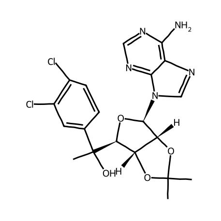 CC1(C)O[C@@H]2[C@H](O1)[C@@H](C(C)(O)c1ccc(Cl)c(Cl)c1)O[C@H]2n1cnc2c(N)ncnc21